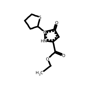 CCOC(=O)c1cc(=O)n(C2CCCS2)[nH]1